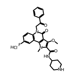 COc1c(C(=O)NC2CCNCC2)n(C)c2c1c(=O)n(CC(=O)c1ccccc1)c1ccc(F)cc21.Cl